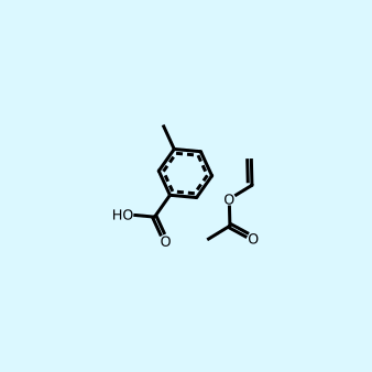 C=COC(C)=O.Cc1cccc(C(=O)O)c1